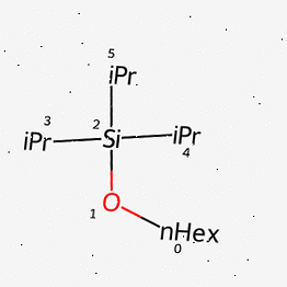 CCCCCCO[Si](C(C)C)(C(C)C)C(C)C